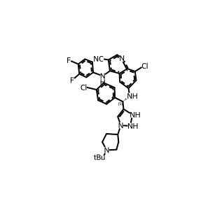 CC(C)(C)N1CCC(N2C=C([C@@H](Nc3cc(Cl)c4ncc(C#N)c(Nc5ccc(F)c(F)c5)c4c3)c3ccc(Cl)cc3)NN2)CC1